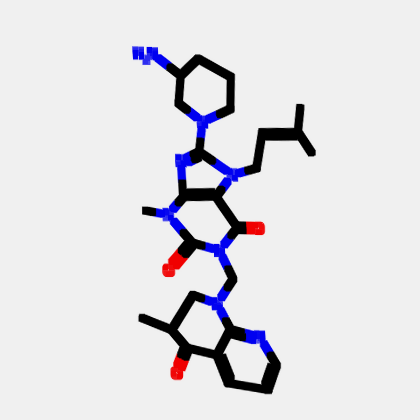 CC(C)=CCn1c(N2CCCC(N)C2)nc2c1c(=O)n(CN1CC(C)C(=O)c3cccnc31)c(=O)n2C